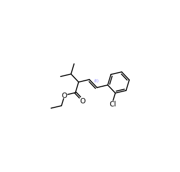 CCOC(=O)C(/C=C/c1ccccc1Cl)C(C)C